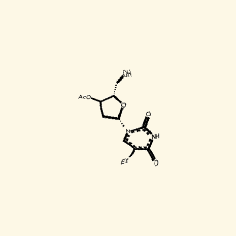 CCc1cn([C@@H]2CC(OC(C)=O)[C@H](CO)O2)c(=O)[nH]c1=O